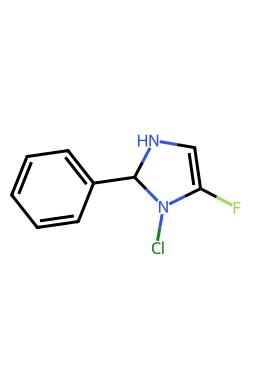 FC1=CNC(c2ccccc2)N1Cl